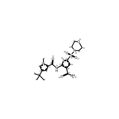 Cn1cc(C(C)(C)C)cc1C(=O)Nc1sc(S(=O)(=O)N2CCOCC2)cc1C(N)=O